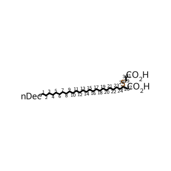 CCCCCCCCCCCCCCCCCCCCCCCCCCCCCCCCCCC(CC(=O)O)SCCC(=O)O